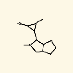 CC1C(S)C1C1C2CCCC2CN1C